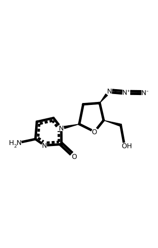 [N-]=[N+]=N[C@@H]1C[C@H](n2ccc(N)nc2=O)O[C@@H]1CO